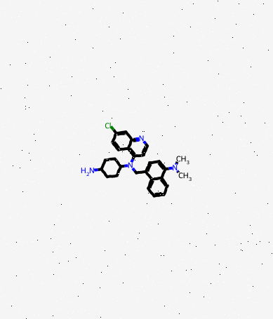 CN(C)c1ccc(CN(c2ccnc3cc(Cl)ccc23)C2CCC(N)CC2)c2ccccc12